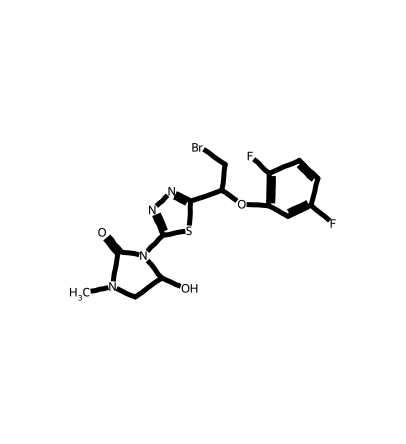 CN1CC(O)N(c2nnc(C(CBr)Oc3cc(F)ccc3F)s2)C1=O